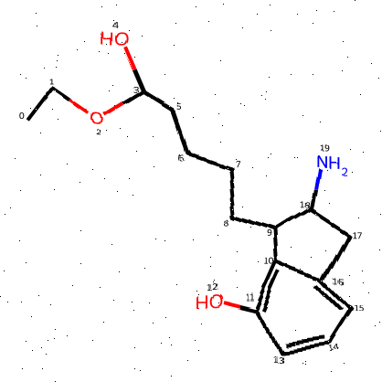 CCOC(O)CCCCC1c2c(O)cccc2CC1N